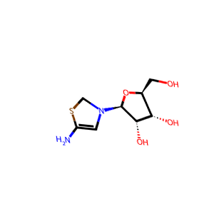 NC1=CN([C@H]2O[C@@H](CO)[C@H](O)[C@@H]2O)CS1